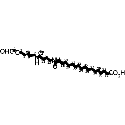 O=CCOCCOCCNC(=O)CCCNC(=O)CCCCCCCCCCCCCCCCC(=O)O